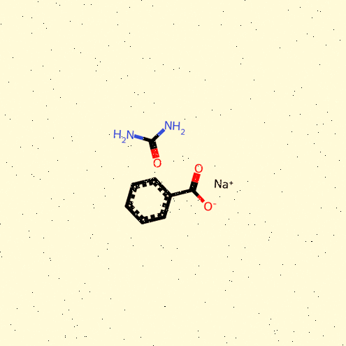 NC(N)=O.O=C([O-])c1ccccc1.[Na+]